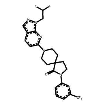 O=C1N(c2cccc(C(F)(F)F)n2)CCC12CCN(c1cnc3cnn(CC(F)F)c3n1)CC2